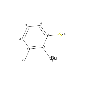 Cc1cccc([S])c1C(C)(C)C